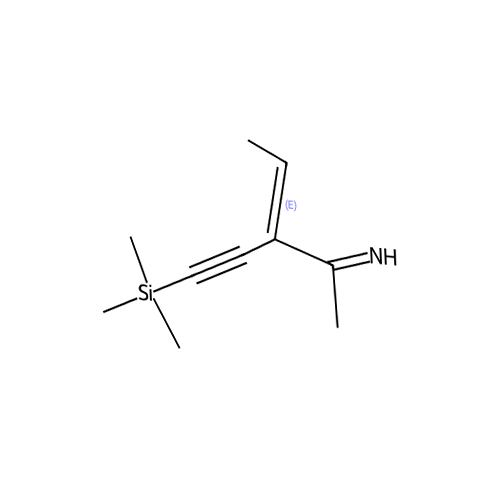 C/C=C(\C#C[Si](C)(C)C)C(C)=N